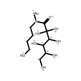 CCCCN(CCCCO)C(=O)C(O)(S)C(O)C(O)C(O)CO